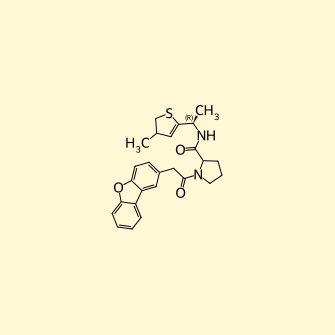 CC1C=C([C@@H](C)NC(=O)C2CCCN2C(=O)Cc2ccc3oc4ccccc4c3c2)SC1